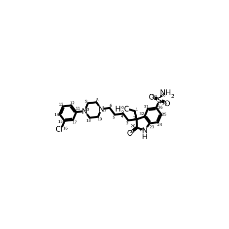 CCC1(CCCCN2CCN(c3cccc(Cl)c3)CC2)C(=O)Nc2ccc(S(N)(=O)=O)cc21